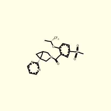 C[C@@H](Oc1ccc(S(C)(=O)=O)cc1C(=O)N1CC2C[C@]2(c2ncccn2)C1)C(F)(F)F